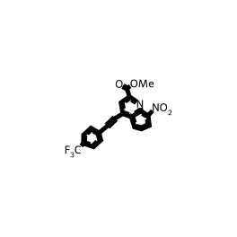 COC(=O)c1cc(C#Cc2ccc(C(F)(F)F)cc2)c2cccc([N+](=O)[O-])c2n1